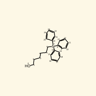 OCCCCCC[Si](c1ccccc1)(c1ccccc1)c1ccccc1